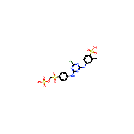 Cc1cc(Nc2nc(Cl)nc(Nc3ccc(S(=O)(=O)COS(=O)(=O)O)cc3)n2)ccc1S(=O)(=O)O